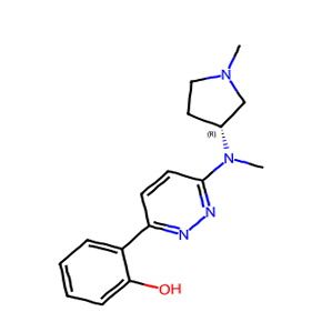 CN1CC[C@@H](N(C)c2ccc(-c3ccccc3O)nn2)C1